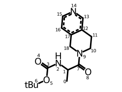 CC(NC(=O)OC(C)(C)C)C(=O)N1CCc2cnccc2C1